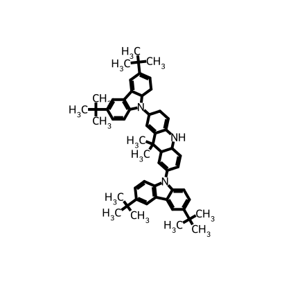 CC(C)(C)C1=CCC2C(=C1)c1cc(C(C)(C)C)ccc1N2C1C=C2C(=CC1)NC1C=CC(n3c4ccc(C(C)(C)C)cc4c4cc(C(C)(C)C)ccc43)=CC1C2(C)C